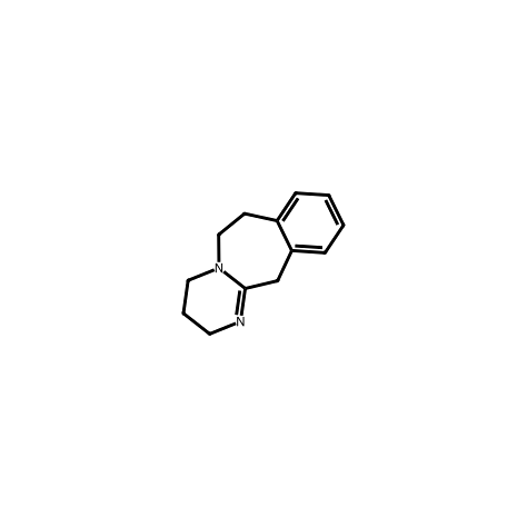 c1ccc2c(c1)CCN1CCCN=C1C2